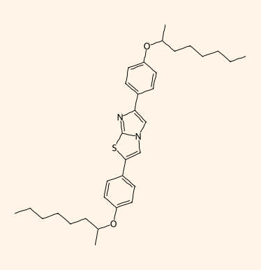 CCCCCCC(C)Oc1ccc(-c2cn3cc(-c4ccc(OC(C)CCCCCC)cc4)sc3n2)cc1